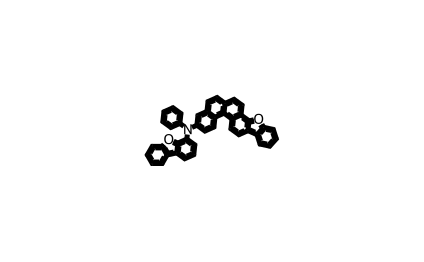 c1ccc(N(c2ccc3c(ccc4ccc5c(ccc6c7ccccc7oc65)c43)c2)c2cccc3c2oc2ccccc23)cc1